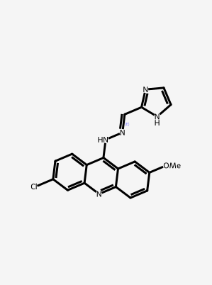 COc1ccc2nc3cc(Cl)ccc3c(N/N=C/c3ncc[nH]3)c2c1